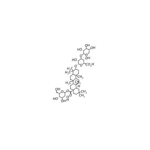 CC1(C)CC[C@]2(C(=O)O[C@@H]3O[C@H](CO)[C@@H](O)[C@H](O)[C@H]3O)CC[C@]3(C)C(=CCC4[C@@]5(C)CCC(O[C@H]6O[C@H](C(=O)O)[C@@H](O)[C@H](O[C@@H]7OC[C@H](O)[C@H](O)[C@H]7O)[C@H]6O)C(C)(C)C5CC[C@]43C)[C@H]2C1